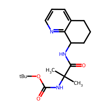 CC(C)(C)OC(=O)NC(C)(C)C(=O)NC1CCCc2cccnc21